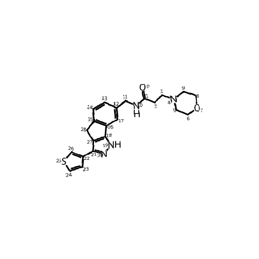 O=C(CCN1CCOCC1)NCc1ccc2c(c1)-c1[nH]nc(-c3ccsc3)c1C2